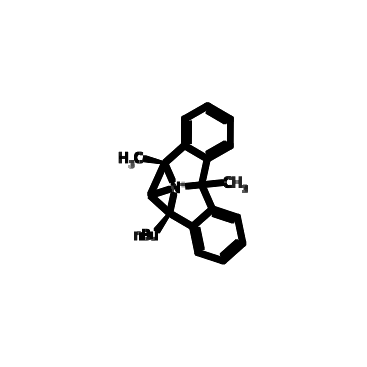 CCCC[C@@]12c3ccccc3C3(C)c4ccccc4[C@@]4(C)C1[N+]342